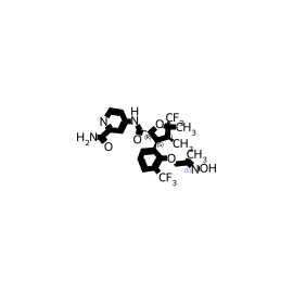 C/C(COc1c([C@H]2[C@H](C(=O)Nc3ccnc(C(N)=O)c3)O[C@@](C)(C(F)(F)F)[C@H]2C)cccc1C(F)(F)F)=N\O